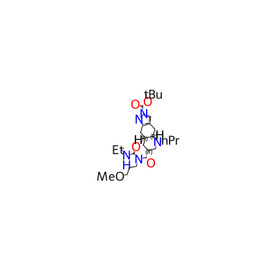 CCCN1C[C@H](C(=O)N(CCCOC)C(=O)NCC)C[C@@H]2Cc3nn(C(=O)OC(C)(C)C)cc3C[C@H]21